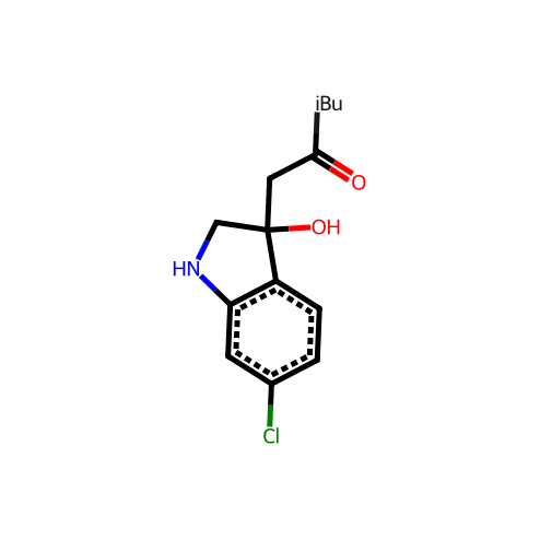 CCC(C)C(=O)CC1(O)CNc2cc(Cl)ccc21